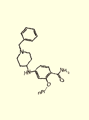 CCCOc1cc(NC2CCN(Cc3ccccc3)CC2)ccc1C(N)=O